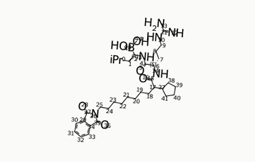 CC(C)C[C@H](NC(=O)[C@H](CCCNC(=N)N)NC(=O)C(CCCCCCCCN1C(=O)c2ccccc2C1=O)C1CCCC1)B(O)O